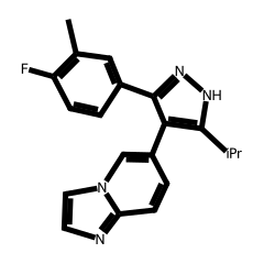 Cc1cc(-c2n[nH]c(C(C)C)c2-c2ccc3nccn3c2)ccc1F